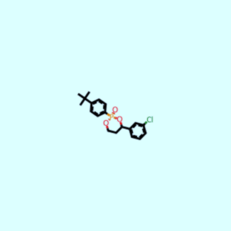 CC(C)(C)c1ccc(P2(=O)OCCC(c3cccc(Cl)c3)O2)cc1